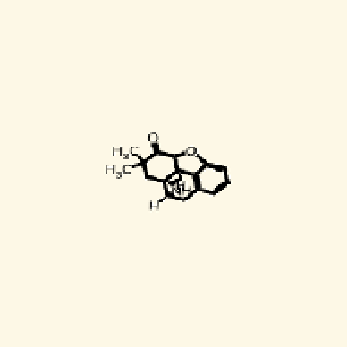 CC1(C)C[C@H]2[C@H]3Cc4cccc5c4[C@@]2(CCN3)C(O5)C1=O